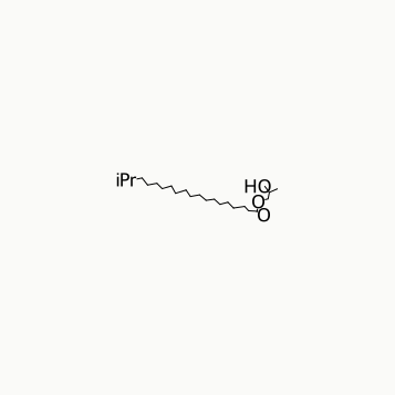 CC(C)CCCCCCCCCCCCCCCCC(=O)OCC(C)O